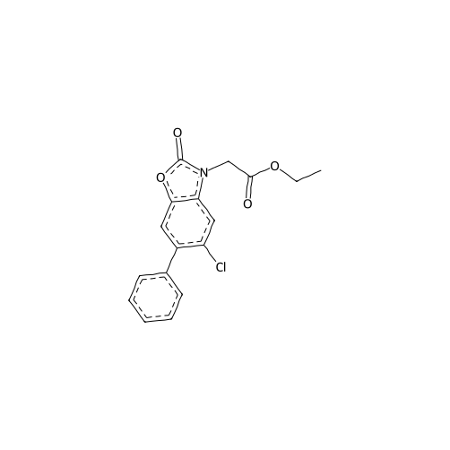 CCOC(=O)Cn1c(=O)oc2cc(-c3ccccc3)c(Cl)cc21